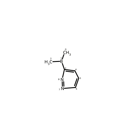 CB(C)c1cccnn1